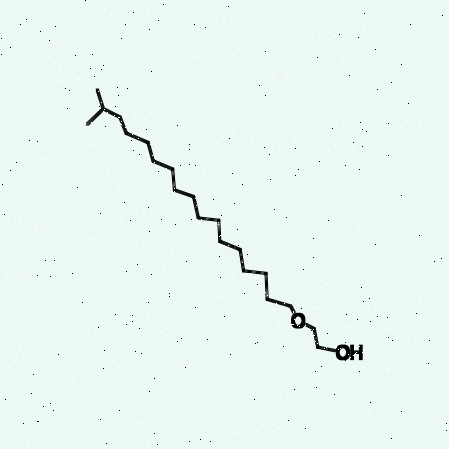 CC(C)CCCCCCCCCCCCCCCOCCO